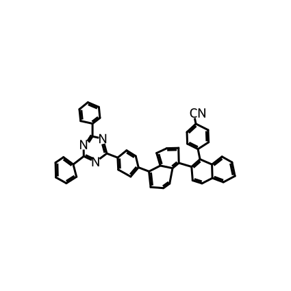 N#Cc1ccc(-c2c(-c3cccc4c(-c5ccc(-c6nc(-c7ccccc7)nc(-c7ccccc7)n6)cc5)cccc34)ccc3ccccc23)cc1